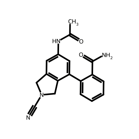 CC(=O)Nc1cc2c(c(-c3ccccc3C(N)=O)c1)CN(C#N)C2